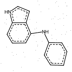 c1ccc(Nc2cccc3[nH]ccc23)cc1